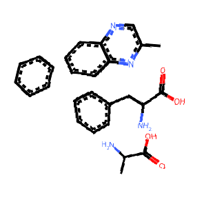 CC(N)C(=O)O.Cc1cnc2ccccc2n1.NC(Cc1ccccc1)C(=O)O.c1ccccc1